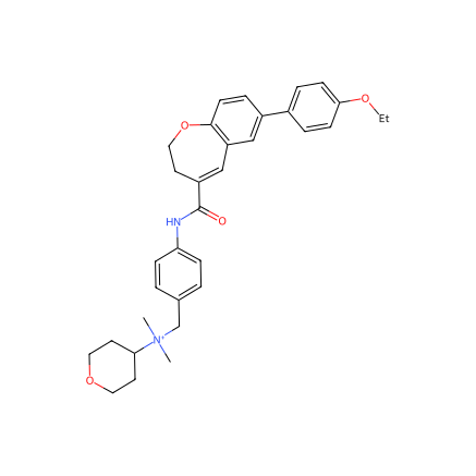 CCOc1ccc(-c2ccc3c(c2)C=C(C(=O)Nc2ccc(C[N+](C)(C)C4CCOCC4)cc2)CCO3)cc1